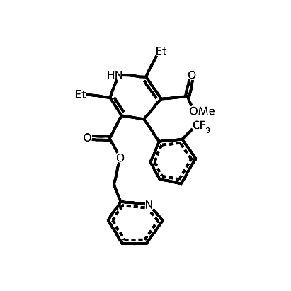 CCC1=C(C(=O)OC)C(c2ccccc2C(F)(F)F)C(C(=O)OCc2ccccn2)=C(CC)N1